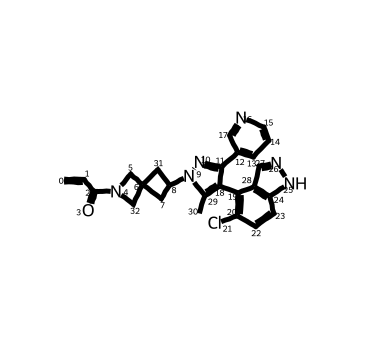 C=CC(=O)N1CC2(CC(n3nc(-c4cccnc4)c(-c4c(Cl)ccc5[nH]ncc45)c3C)C2)C1